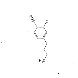 CCCCc1ccc(C#N)c(Cl)c1